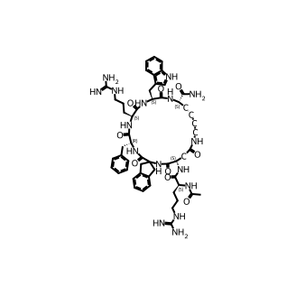 CC(=O)N[C@@H](CCCNC(=N)N)C(=O)N[C@H]1CC(=O)NCCCC[C@@H](C(N)=O)NC(=O)[C@H](Cc2c[nH]c3ccccc23)NC(=O)[C@H](CCCNC(=N)N)NC(=O)[C@@H](Cc2ccccc2)NC(=O)C2(Cc3ccccc3C2)NC1=O